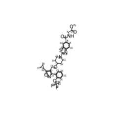 COC(=O)CNC(=O)c1ccc2nc(N3CCC(OCc4c(-c5ccccc5OC(F)(F)F)noc4C4CC4)CC3)sc2c1